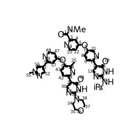 CNC(=O)c1cc(Oc2ccc(-c3cnc(NC(C)C)[nH]c3=O)nc2)ccn1.Cc1nc(-c2cnc(N3CCOCC3)[nH]c2=O)ccc1Oc1ccnc(-c2cnn(C)c2)c1